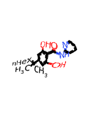 CCCCCCC(C)(C)c1cc(O)c(C(=O)Nc2ccccn2)c(O)c1